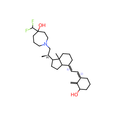 C=C1/C(=C\C=C2/CCCC3(C)C2CCC3[C@@H](C)CN2CCCC(O)(C(F)F)CC2)CCCC1O